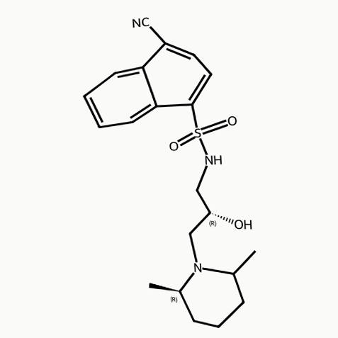 CC1CCC[C@@H](C)N1C[C@@H](O)CNS(=O)(=O)c1ccc(C#N)c2ccccc12